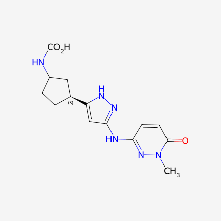 Cn1nc(Nc2cc([C@H]3CCC(NC(=O)O)C3)[nH]n2)ccc1=O